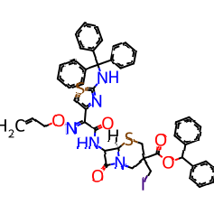 C=CCON=C(C(=O)NC1C(=O)N2CC(CI)(C(=O)OC(c3ccccc3)c3ccccc3)CS[C@H]12)c1csc(NC(c2ccccc2)(c2ccccc2)c2ccccc2)n1